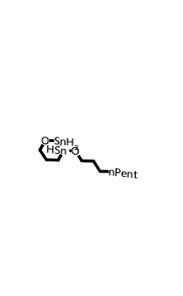 CCCCCCCC[O][SnH]1[CH2]CC[O][SnH2]1